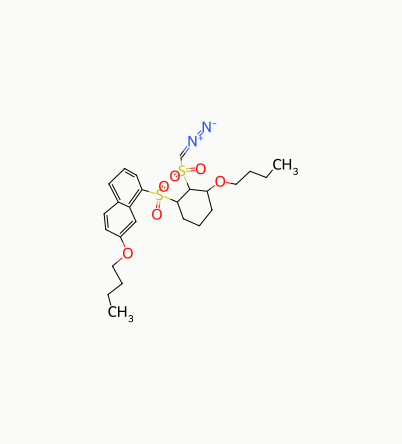 CCCCOc1ccc2cccc(S(=O)(=O)C3CCCC(OCCCC)C3S(=O)(=O)C=[N+]=[N-])c2c1